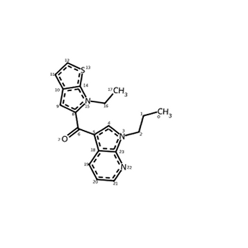 CCCn1cc(C(=O)c2cc3ccsc3n2CC)c2cccnc21